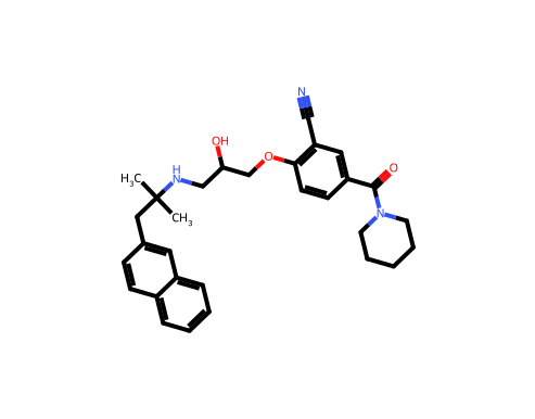 CC(C)(Cc1ccc2ccccc2c1)NCC(O)COc1ccc(C(=O)N2CCCCC2)cc1C#N